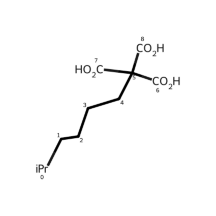 CC(C)CCCCC(C(=O)O)(C(=O)O)C(=O)O